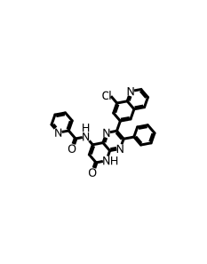 O=C(Nc1cc(=O)[nH]c2nc(-c3ccccc3)c(-c3cc(Cl)c4ncccc4c3)nc12)c1ccccn1